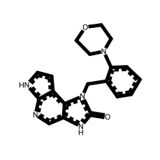 O=c1[nH]c2cnc3[nH]ccc3c2n1Cc1ccccc1N1CCOCC1